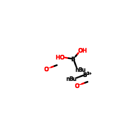 CCCCB(O)O.C[O-].C[O-].[B+2]CCCC